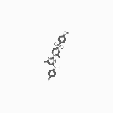 COc1ccc(S(=O)(=O)N2CCN(c3nc(C)cc(Nc4ccc(F)cc4)n3)C(C)C2)cc1